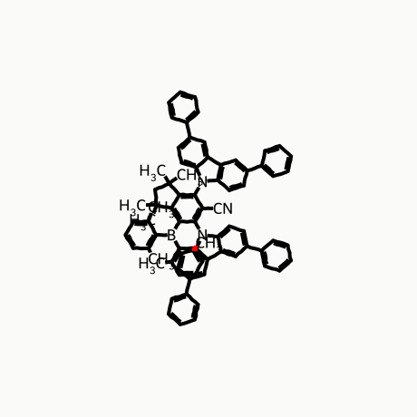 Cc1cccc(C)c1B(c1c(C)cccc1C)c1c(-n2c3ccc(-c4ccccc4)cc3c3cc(-c4ccccc4)ccc32)c(C#N)c(-n2c3ccc(-c4ccccc4)cc3c3cc(-c4ccccc4)ccc32)c2c1C(C)(C)CC2(C)C